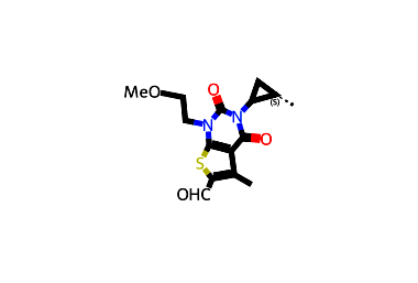 COCCn1c(=O)n(C2C[C@@H]2C)c(=O)c2c(C)c(C=O)sc21